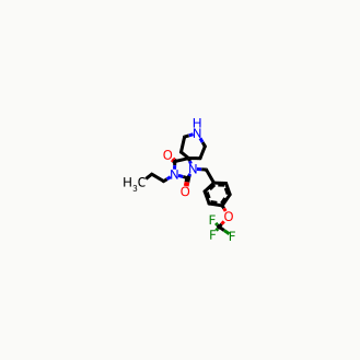 CCCN1C(=O)N(Cc2ccc(OC(F)(F)F)cc2)C2(CCNCC2)C1=O